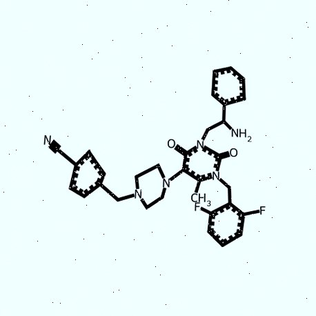 Cc1c(N2CCN(Cc3ccc(C#N)cc3)CC2)c(=O)n(CC(N)c2ccccc2)c(=O)n1Cc1c(F)cccc1F